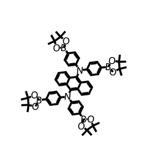 CC1(C)OB(c2ccc(N(c3ccc(B4OC(C)(C)C(C)(C)O4)cc3)c3c4ccccc4c(N(c4ccc(B5OC(C)(C)C(C)(C)O5)cc4)c4ccc(B5OC(C)(C)C(C)(C)O5)cc4)c4ccccc34)cc2)OC1(C)C